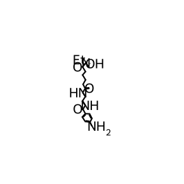 CCN(O)C(=O)CCCCC(=O)NCCNC(=O)c1ccc(N)cc1